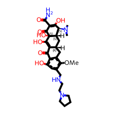 COc1c(CNCCN2CCCC2)cc(O)c2c1C[C@H]1C[C@H]3[C@H](N(C)C)C(O)=C(C(N)=O)C(=O)[C@@]3(O)C(O)=C1C2=O